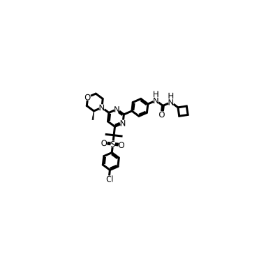 C[C@H]1COCCN1c1cc(C(C)(C)S(=O)(=O)c2ccc(Cl)cc2)nc(-c2ccc(NC(=O)NC3CCC3)cc2)n1